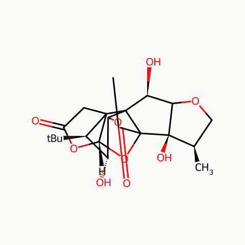 C[C@@H]1COC2[C@H](O)C34C5OC(=O)C3(O[C@@H]3OC(=O)CC34[C@H](C(C)(C)C)[C@H]5O)[C@]21O